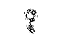 O=S1(=O)NCCCNc2nc(ncc2CCNS(=O)(=O)c2cccnc2)Nc2cccc1c2